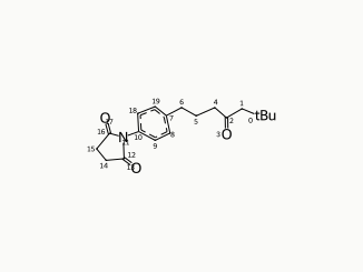 CC(C)(C)CC(=O)CCCc1ccc(N2C(=O)CCC2=O)cc1